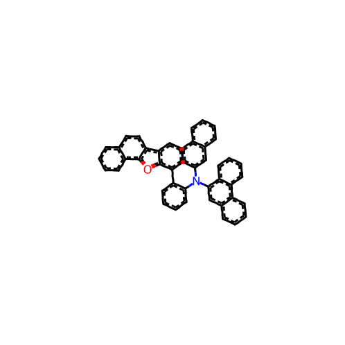 c1ccc(N(c2ccc3ccccc3c2)c2cc3ccccc3c3ccccc23)c(-c2cccc3c2oc2c4ccccc4ccc32)c1